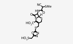 CSC(C#N)C(=O)NC1C(=O)N2C(C(=O)O)=C(CSc3nnc(CS(=O)(=O)O)o3)CS[C@@H]12